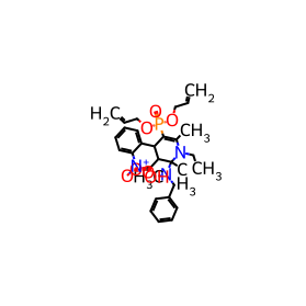 C=CCOP(=O)(OCC=C)C1=C(C)N(CC)C(C)(N(C)Cc2ccccc2)C(C(=O)O)C1c1ccccc1[N+](=O)[O-]